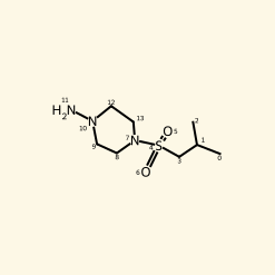 CC(C)CS(=O)(=O)N1CCN(N)CC1